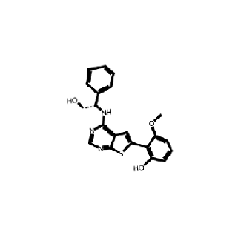 COc1cccc(O)c1-c1cc2c(N[C@H](CO)c3ccccc3)ncnc2s1